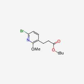 COc1nc(Br)ccc1CCC(=O)OC(C)(C)C